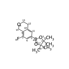 CC1(C)OB(c2cc(F)c3c(c2)CCOC3)OC1(C)C